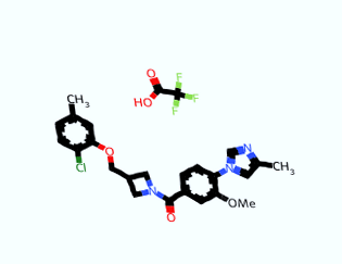 COc1cc(C(=O)N2CC(COc3cc(C)ccc3Cl)C2)ccc1-n1cnc(C)c1.O=C(O)C(F)(F)F